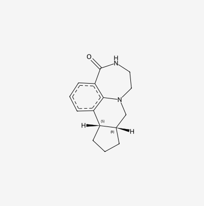 O=C1NCCN2C[C@@H]3CCC[C@@H]3c3cccc1c32